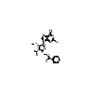 CC(=O)O[C@@H]1[C@H](C(F)F)[C@@H](COC(=O)c2ccccc2)O[C@H]1n1cnc2c(Cl)nc(N)nc21